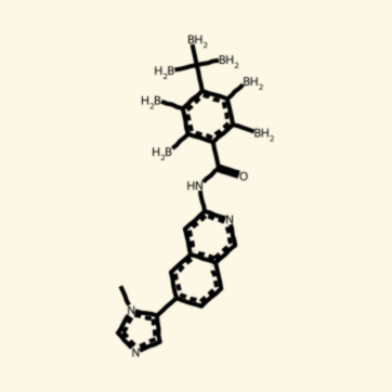 Bc1c(B)c(C(B)(B)B)c(B)c(B)c1C(=O)Nc1cc2cc(-c3cncn3C)ccc2cn1